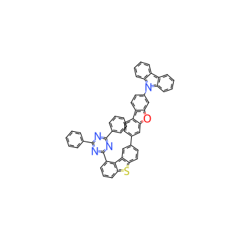 c1ccc(-c2nc(-c3ccccc3)nc(-c3cccc4sc5ccc(-c6ccc7c(c6)oc6cc(-n8c9ccccc9c9ccccc98)ccc67)cc5c34)n2)cc1